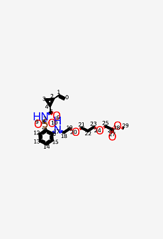 C=C[C@@H]1C[C@@H]1C(=O)NS(=O)(=O)c1ccccc1NCCOCCCOCC(=O)OC